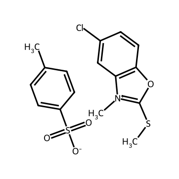 CSc1oc2ccc(Cl)cc2[n+]1C.Cc1ccc(S(=O)(=O)[O-])cc1